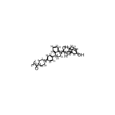 CN(C)C(=O)N1CCN(c2ccc(N3CCN(C(=O)NC4[C@@H]5CC6C[C@H]4CC(O)(C6)C5)c4ccccc43)cc2)CC1